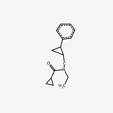 CCN(CC1CC1c1ccccc1)C(=O)C1CC1